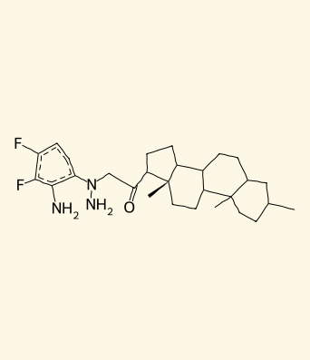 CC1CCC2(C)C(CCC3C2CC[C@]2(C)C(C(=O)CN(N)c4ccc(F)c(F)c4N)CCC32)C1